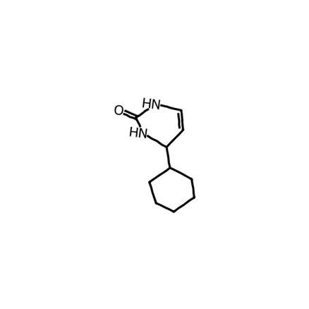 O=C1NC=CC(C2CCCCC2)N1